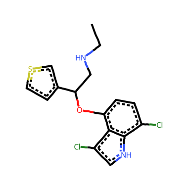 CCNCC(Oc1ccc(Cl)c2[nH]cc(Cl)c12)c1ccsc1